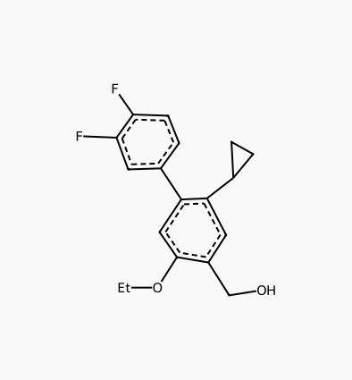 CCOc1cc(-c2ccc(F)c(F)c2)c(C2CC2)cc1CO